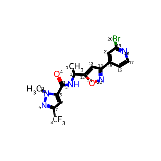 CC(NC(=O)c1cc(C(F)(F)F)nn1C)c1cc(-c2ccnc(Br)c2)no1